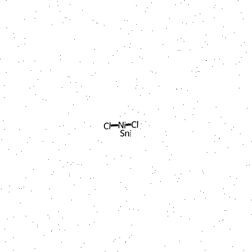 [Cl][Ni][Cl].[Sn]